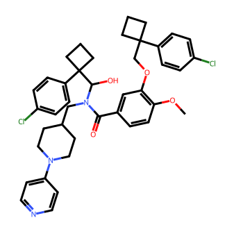 COc1ccc(C(=O)N(CC2CCN(c3ccncc3)CC2)C(O)C2(c3ccc(Cl)cc3)CCC2)cc1OCC1(c2ccc(Cl)cc2)CCC1